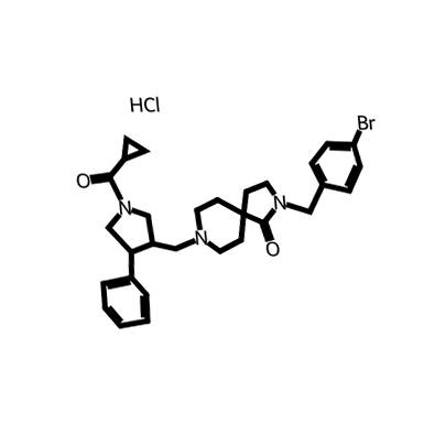 Cl.O=C(C1CC1)N1CC(CN2CCC3(CC2)CCN(Cc2ccc(Br)cc2)C3=O)C(c2ccccc2)C1